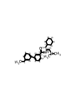 CCc1cccc(-c2cccc(C(=O)N[C@H](CC3CCCCC3)CN(C)C)c2)c1